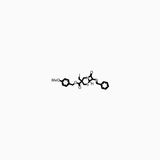 COc1ccc(COC(=O)C2(CI)CS[C@@H]3C(N=Cc4ccccc4)C(=O)N3C2)cc1